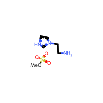 COS(=O)(=O)[O-].NCC[n+]1cc[nH]c1